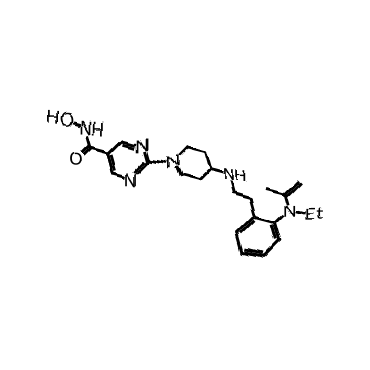 C=C(C)N(CC)c1ccccc1CCNC1CCN(c2ncc(C(=O)NO)cn2)CC1